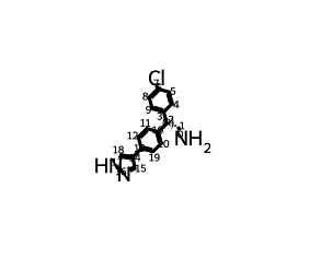 NC[C@@H](c1ccc(Cl)cc1)c1ccc(-c2cn[nH]c2)cc1